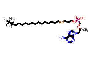 [2H]C([2H])([2H])C([2H])([2H])CCCCCCCCCCCCCCSCCCOP(=O)(O)CO[C@H](C)Cn1cnc2c(N)ncnc21